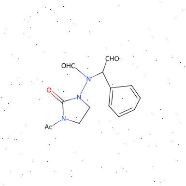 CC(=O)N1CCN(N(C=O)C([C]=O)c2ccccc2)C1=O